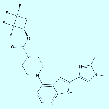 Cc1nc(-c2cc3c(N4CCN(C(=O)O[C@@H]5CC(F)(F)C5(F)F)CC4)ccnc3[nH]2)cn1C